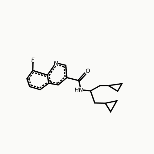 O=C(NC(CC1CC1)CC1CC1)c1cnc2c(F)cccc2c1